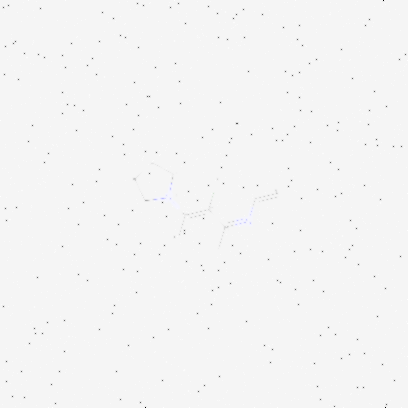 C=C/N=C(C)\C(Cl)=C(/C)N1CCCC1